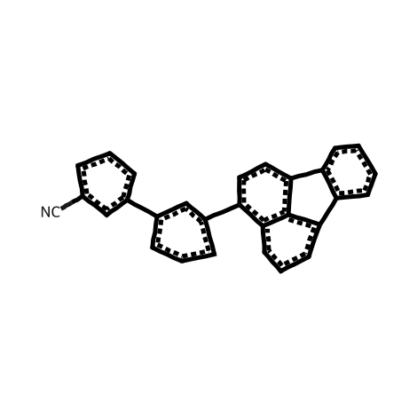 N#Cc1cccc(-c2cccc(-c3ccc4c5c(cccc35)-c3ccccc3-4)c2)c1